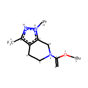 C=C(OC(C)(C)C)N1CCc2c(C(F)(F)F)nn(C(C)C)c2C1